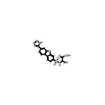 COC(=O)C(NS(=O)(=O)c1ccc2c(c1)oc1cc(-c3nnn[nH]3)ccc12)C(C)C